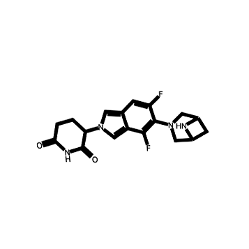 O=C1CCC(n2cc3cc(F)c(N4CC5CC(C4)N5)c(F)c3c2)C(=O)N1